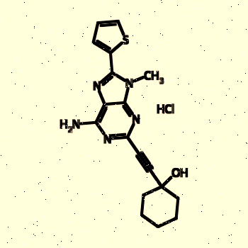 Cl.Cn1c(-c2cccs2)nc2c(N)nc(C#CC3(O)CCCCC3)nc21